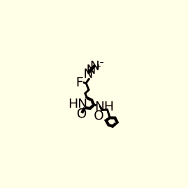 [N-]=[N+]=NCC(F)CCc1cc(NC(=O)Cc2ccccc2)cc(=O)[nH]1